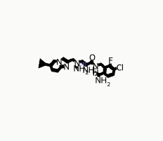 N/C(=C\N(N)Cc1cn2cc(C3CC3)ccc2n1)C(=O)NCc1c(C(N)F)ccc(Cl)c1F